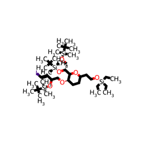 CC[Si](CC)(CC)OCCC1CC[C@H](OCC(/C=C/I)O[Si](C)(C)C(C)(C)C)C([C@@H](CO[Si](C)(C)C(C)(C)C)O[Si](C)(C)C(C)(C)C)O1